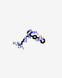 CN(C)C/C=C/CNCc1nc(-c2ccc(C(=O)Nc3ccccn3)cc2)c2c(N)nccn12